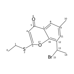 CCSc1cc(=O)c2cc(C)cc(C(C)Br)c2o1